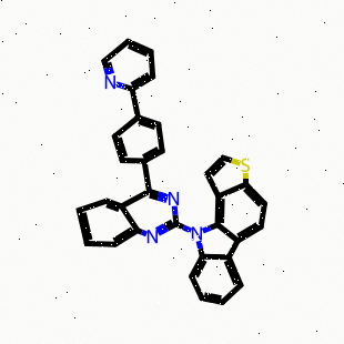 c1ccc(-c2ccc(-c3nc(-n4c5ccccc5c5ccc6sccc6c54)nc4ccccc34)cc2)nc1